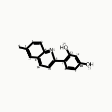 Cc1ccc2nc(-c3ccc(O)cc3O)ccc2c1